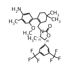 COc1cc(C)c(N)cc1C1=C(CN2C(=O)O[C@H](c3cc(C(F)(F)F)cc(C(F)(F)F)c3)[C@@H]2C)CC(C)(C)CC1